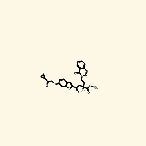 CC(=O)C(CCn1nnc2ccccc2c1=O)(CC(=O)c1cc2ccc(OCC(=O)C3CC3)cc2s1)C(=O)OC(C)(C)C